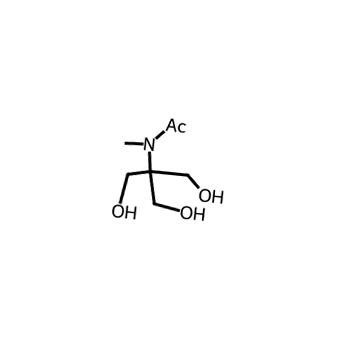 CC(=O)N(C)C(CO)(CO)CO